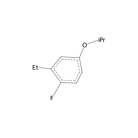 CCc1cc(OC(C)C)ccc1F